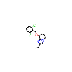 CCc1cn2cccc(OCc3c(Cl)cccc3Cl)c2n1